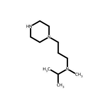 CC(C)N(C)CCCN1CCNCC1